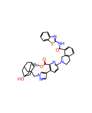 CC(C)(C)OC(=O)c1nc(N2CCc3cccc(C(=O)Nc4nc5ccccc5s4)c3C2)ccc1-c1cnn(CC23CC4CC(CC(O)(C4)C2)C3)c1